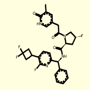 Cc1cc(CC(=O)N2C[C@H](F)C[C@H]2C(=O)N[C@@H](c2ccccc2)c2ccc(C3CC(F)(F)C3)c(F)n2)c[nH]c1=O